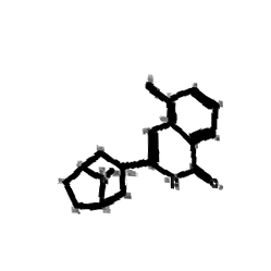 Cc1cccc2c(=O)[nH]c(C3CC4CCC(C3)N4C)cc12